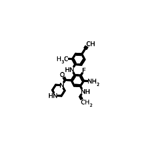 C#Cc1ccc(Nc2c(C(=O)N3CCNCC3)cc(NC=C)c(N)c2F)c(C)c1